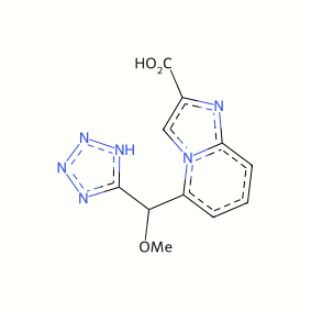 COC(c1nnn[nH]1)c1cccc2nc(C(=O)O)cn12